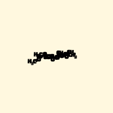 C=C(C)C(=O)Oc1ccc2c(c1)C(C)c1cc(C(=O)Oc3ccc(OC(=O)C(=C)CC(=O)OCCC)cc3)ccc1-2